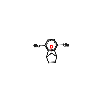 CC(C)(C)c1ccc(C(C)(C)C)c2c1C1C=CC2C1=O